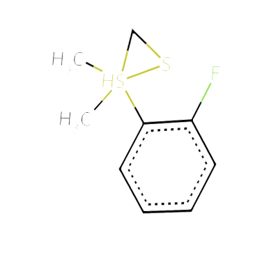 C[SH]1(C)(c2ccccc2F)CS1